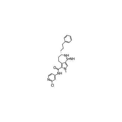 Cn1cc2c(c1C(=O)Nc1ccnc(Cl)c1)CC[C@H](CCCc1ccccc1)NS2=N